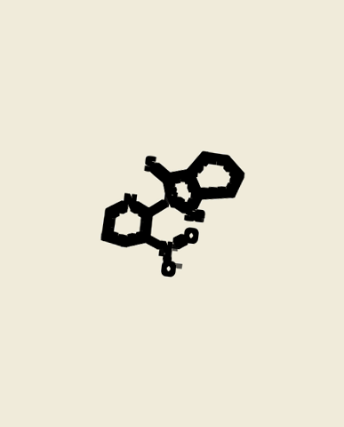 O=[N+]([O-])c1cccnc1-n1[se]c2ccccc2c1=S